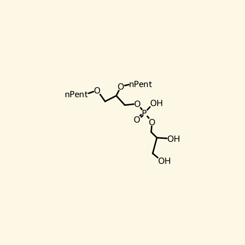 CCCCCOCC(COP(=O)(O)OCC(O)CO)OCCCCC